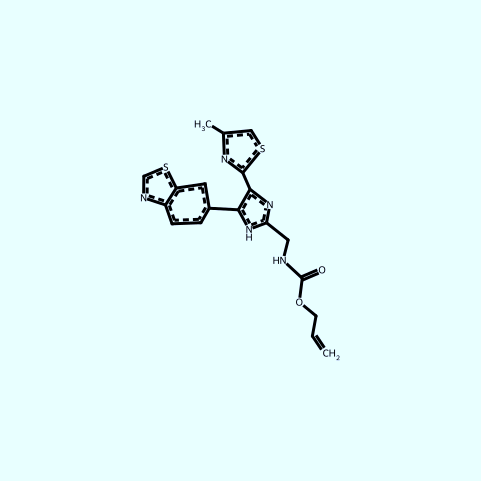 C=CCOC(=O)NCc1nc(-c2nc(C)cs2)c(-c2ccc3ncsc3c2)[nH]1